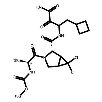 CC(C)(C)OC(=O)N[C@H](C(=O)N1CC2C([C@H]1C(=O)NC(CC1CCC1)C(=O)C(N)=O)C2(Cl)Cl)C(C)(C)C